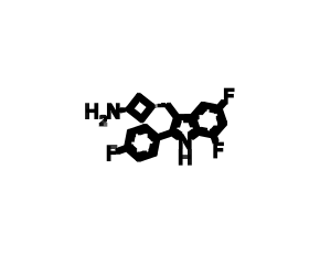 N[C@H]1C[C@H](Cc2c(-c3ccc(F)cc3)[nH]c3c(F)cc(F)cc23)C1